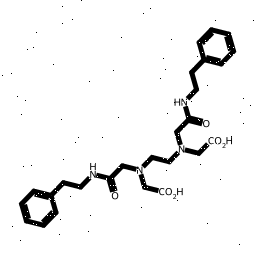 O=C(O)CN(CCN(CC(=O)O)CC(=O)NCCc1ccccc1)CC(=O)NCCc1ccccc1